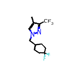 Cc1cn(CC2CCC(F)(F)CC2)nc1C(F)(F)F